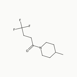 CC1CCN(C(=O)CCC(F)(F)F)CC1